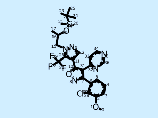 COc1cccc(-c2noc(-c3cnn(CC(C)O[Si](C)(C)C(C)(C)C)c3C(F)(F)F)c2-c2ccncn2)c1Cl